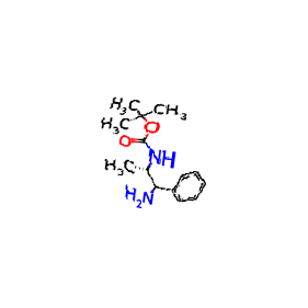 C[C@H](NC(=O)OC(C)(C)C)[C@H](N)c1ccccc1